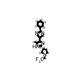 Cc1[nH]c([C@@H]2CCN(CC(F)(F)F)C2)nc1-c1cnc(-c2ccccc2)nc1